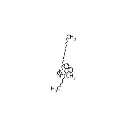 CCCCCCCCCCCCCCCn1ccnc1C(CCCCCC)C(C)(Cc1ccccc1)c1ccccc1